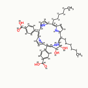 CCCCCCc1c2nc(c(CCCCCC)c3ccc([nH]3)c(-c3ccc(C(=O)O)cc3)c3nc(c(-c4ccc(C(=O)O)cc4)c4[nH]c1C(O)C4O)C=C3)C=C2